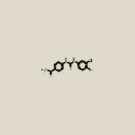 NC(=O)c1ccc(NC(=S)Nc2ccc(Br)c(Cl)c2)cc1